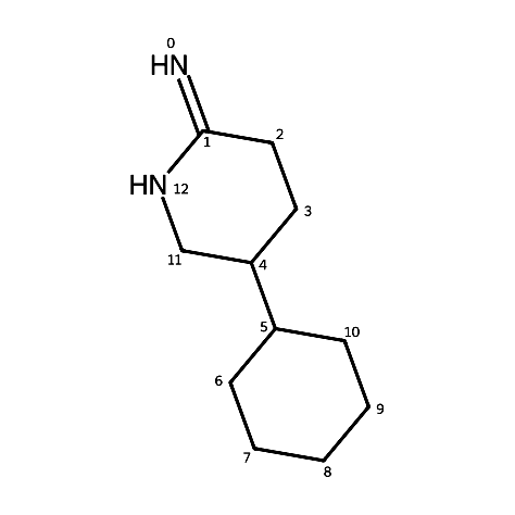 N=C1CCC(C2CCCCC2)CN1